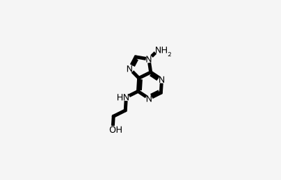 Nn1cnc2c(NCCO)ncnc21